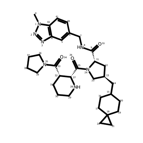 Cn1nnc2cc(CNC(=O)[C@@H]3C[C@@H](CC4CCC5(CC4)CC5)CN3C(=O)[C@@H]3NCCC[C@@H]3C(=O)N3CCCC3)ccc21